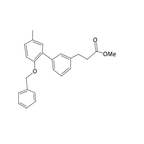 COC(=O)CCc1cccc(-c2cc(C)ccc2OCc2ccccc2)c1